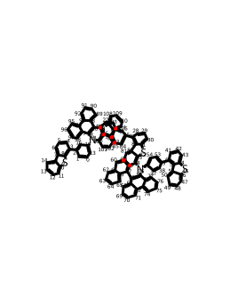 c1cc(-c2cccc3c2sc2ccccc23)cc(N(c2c(-c3ccc4cc(-c5cccc6sc7c(N(c8ccc(-c9cccc%10sc%11ccccc%11c9%10)cc8)c8c(-c9cccc%10ccccc9%10)c9ccccc9c9ccccc89)cccc7c56)ccc4c3)c3ccccc3c3ccccc23)c2cccc3c2sc2ccccc23)c1